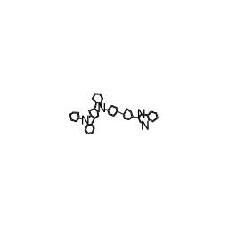 c1ccc(-n2c3ccccc3c3cc4c(cc32)c2ccccc2n4-c2ccc(-c3ccc(-c4cnc5ccccc5n4)cc3)cc2)cc1